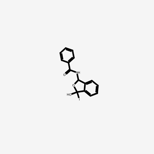 O=C(NC1OC(O)(I)c2ccccc21)c1ccccc1